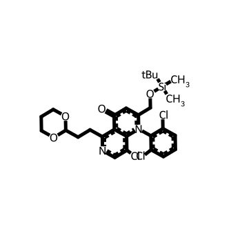 CC(C)(C)[Si](C)(C)OCc1cc(=O)c2c(CCC3OCCCO3)ncc(Cl)c2n1-c1c(Cl)cccc1Cl